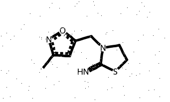 Cc1cc(CN2CCSC2=N)on1